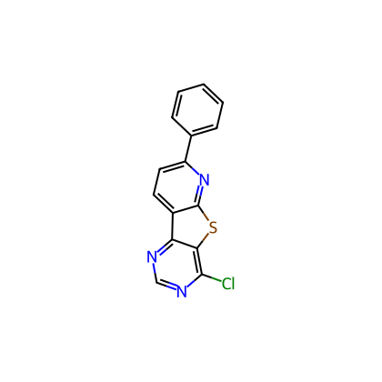 Clc1ncnc2c1sc1nc(-c3ccccc3)ccc12